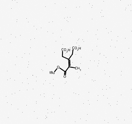 CC(C(=O)OC(C)(C)C)=C(CC(=O)O)CC(=O)O